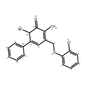 [CH2]C1=C(COc2ccccc2Cl)C=C(c2ccccc2)C(C#N)C1=O